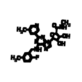 CNC(=O)[C@@H]1OC(n2cnc3c(NCc4cc(C)ccc4F)nc(-c4cncc(C)c4)nc32)C(O)C1O